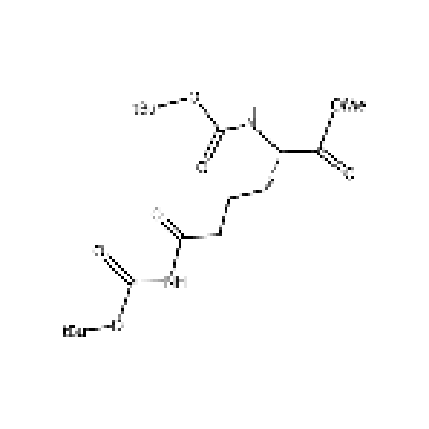 COC(=O)[C@H](CCCC(=O)NC(=O)OC(C)(C)C)NC(=O)OC(C)(C)C